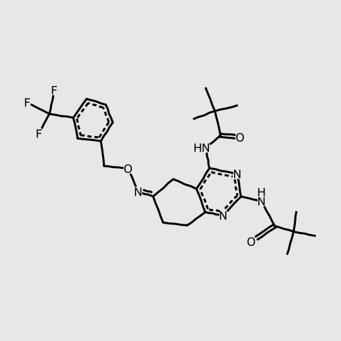 CC(C)(C)C(=O)Nc1nc2c(c(NC(=O)C(C)(C)C)n1)CC(=NOCc1cccc(C(F)(F)F)c1)CC2